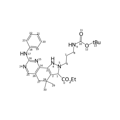 CCOC(=O)C1C2=C(NN1CCCNC(=O)OC(C)(C)C)c1nc(Nc3ccccc3)ncc1CC2(C)C